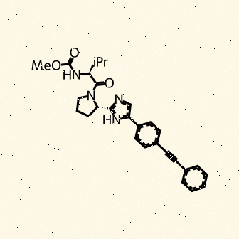 COC(=O)N[C@H](C(=O)N1CCC[C@H]1c1ncc(-c2ccc(C#Cc3ccccc3)cc2)[nH]1)C(C)C